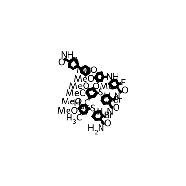 COc1cc(Nc2ccc(C(N)=O)c(F)c2)cc(OC)c1OC.COc1cc(Sc2ccc(C(N)=O)c(Br)c2)cc(C)c1OC.COc1cc(Sc2ccc(C(N)=O)c(Br)c2)cc(C)c1OC.NC(=O)c1ccc(-c2ccccc2)cc1